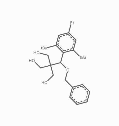 CCc1cc(C(C)(C)C)c(C(OCc2ccccc2)C(CO)(CO)CO)c(C(C)(C)C)c1